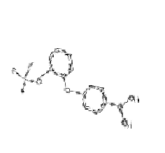 OB(O)c1ccc(Oc2ccccc2OC(F)(F)F)cc1